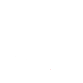 CCOC(=O)CC(C)=O.CCOC(=O)CC(C)=O.C[O][Ti][O]C